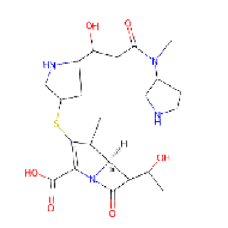 CC(O)C1C(=O)N2C(C(=O)O)=C(SC3CNC(C(O)CC(=O)N(C)C4CCNC4)C3)C(C)[C@@H]12